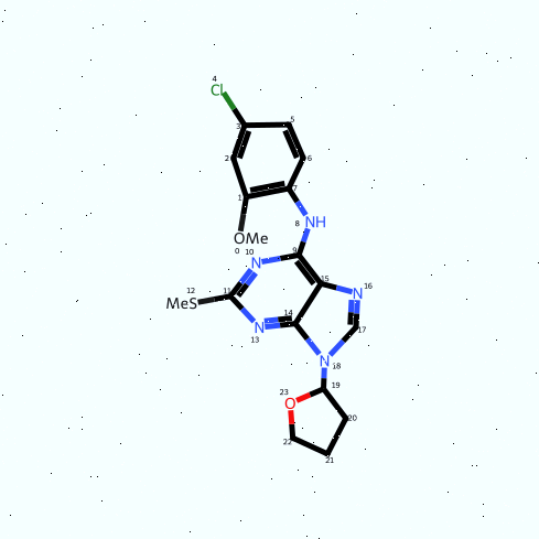 COc1cc(Cl)ccc1Nc1nc(SC)nc2c1ncn2C1CCCO1